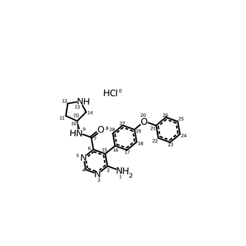 Cl.Nc1ncnc(C(=O)N[C@H]2CCNC2)c1-c1ccc(Oc2ccccc2)cc1